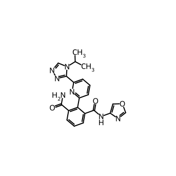 CC(C)n1cnnc1-c1cccc(-c2c(C(N)=O)cccc2C(=O)Nc2cocn2)n1